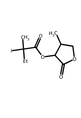 CCC(C)(I)C(=O)OC1C(=O)OCC1C